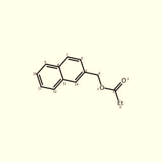 [CH2]CC(=O)OCc1ccc2ccccc2c1